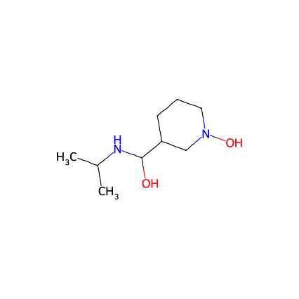 CC(C)NC(O)C1CCCN(O)C1